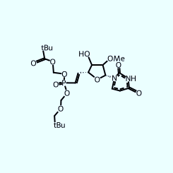 COC1C(O)[C@@H](/C=C/P(=O)(OCOCC(C)(C)C)OCOC(=O)C(C)(C)C)O[C@H]1n1ccc(=O)[nH]c1=O